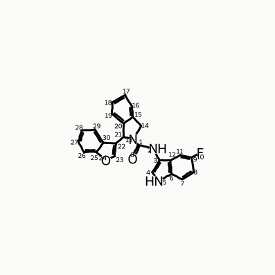 O=C(Nc1c[nH]c2ccc(F)cc12)N1Cc2ccccc2C1c1coc2ccccc12